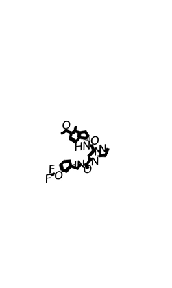 CC(=O)c1ccc2c(c1C)CC[C@@H]2NC(=O)c1cc(C(=O)NCc2cccc(OC(F)F)c2)nc2ccnn12